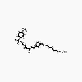 CCCCCCCCCCCCCCCCOCC1COC(COC(=O)NCCOS(=O)(=O)c2ccc(C)cc2)C1